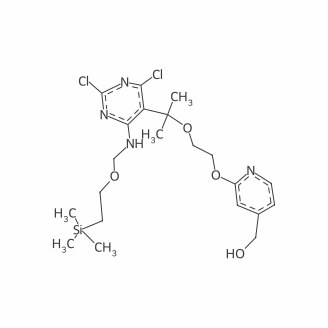 CC(C)(OCCOc1cc(CO)ccn1)c1c(Cl)nc(Cl)nc1NCOCC[Si](C)(C)C